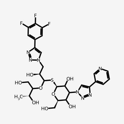 C[C@@H](O)C(CO)OC(S[C@@H]1O[C@H](CO)C(O)C(n2cc(-c3cccnc3)nn2)C1O)[C@@H](O)Cn1cc(-c2cc(F)c(F)c(F)c2)nn1